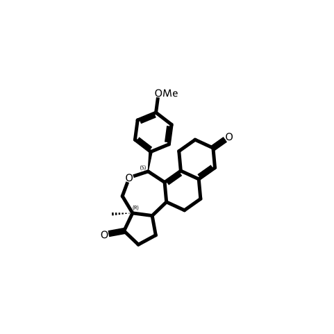 COc1ccc([C@@H]2OC[C@]3(C)C(=O)CCC3C3CCC4=CC(=O)CCC4=C32)cc1